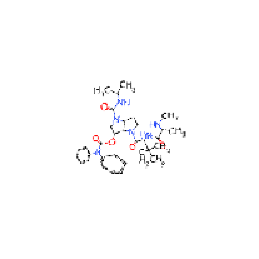 CNC(C)C(=O)NC(C(=O)N1CCC2C1C(OC(=O)N(c1ccccc1)c1ccccc1)CN2C(=O)NC(C)C)C(C)(C)C